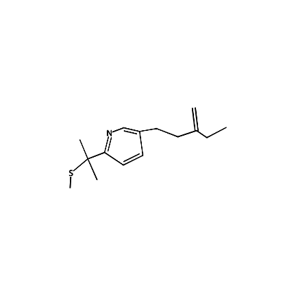 C=C(CC)CCc1ccc(C(C)(C)SC)nc1